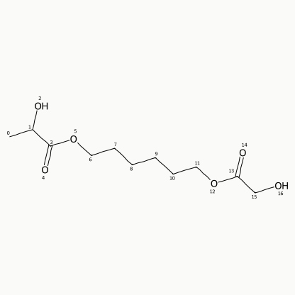 CC(O)C(=O)OCCCCCCOC(=O)CO